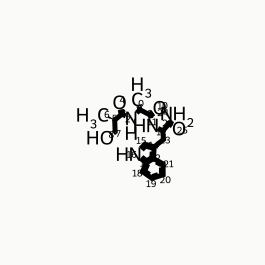 CC(NC(=O)[C@@H](C)CO)C(=O)NC(Cc1c[nH]c2ccccc12)C(N)=O